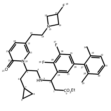 CCOC(=O)CC(NCC(CC1CC1)n1cc(CCN2CC(F)C2)ccc1=O)c1cc(-c2c(C)cccc2C)cc(F)c1F